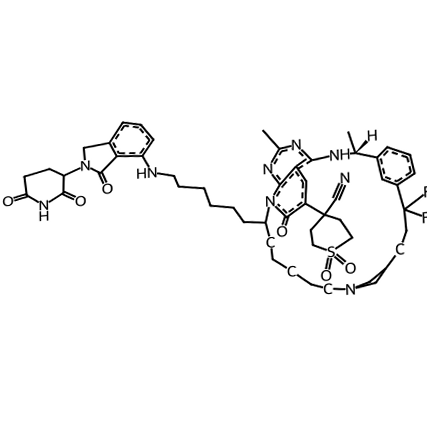 Cc1nc2c3cc(C4(C#N)CCS(=O)(=O)CC4)c(=O)n(c3n1)C(CCCCCCNc1cccc3c1C(=O)N(C1CCC(=O)NC1=O)C3)CCCCCN1CC(CCC(F)(F)c3cccc(c3)[C@@H](C)N2)C1